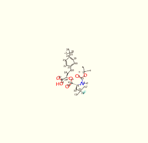 CN(C(=O)OC(C)(C)C)[C@@H](CC(C)(C)F)C(=O)O[C@H](CCc1ccc(C(C)(C)C)cc1)C(=O)O